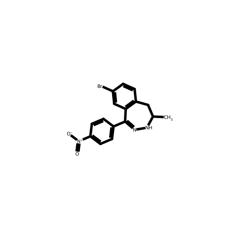 CC1Cc2ccc(Br)cc2C(c2ccc([N+](=O)[O-])cc2)=NN1